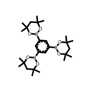 CC1(C)CC(C)(C)OB(c2cc(B3OC(C)(C)CC(C)(C)O3)cc(B3OC(C)(C)CC(C)(C)O3)c2)O1